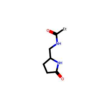 CCC(=O)NCC1CCC(=O)N1